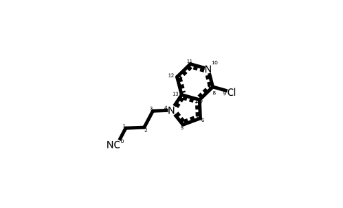 N#CCCCn1ccc2c(Cl)nccc21